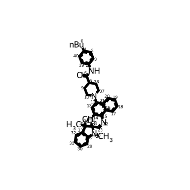 CCCCc1ccc(NC(=O)C2CCN(c3cc4c(c5ccccc35)N=CC3(O4)N(C)c4ccccc4C3(C)C)CC2)cc1